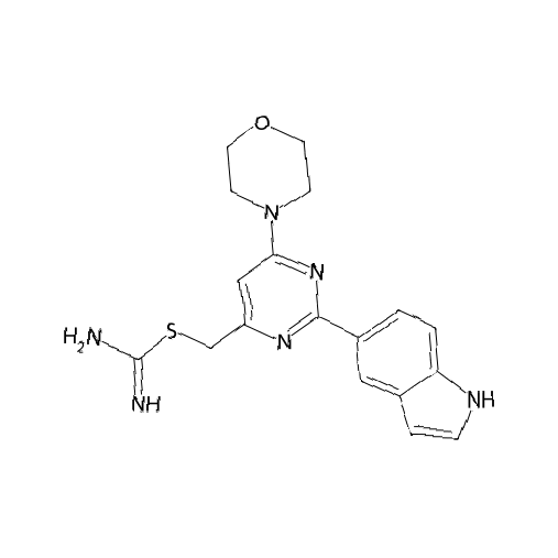 N=C(N)SCc1cc(N2CCOCC2)nc(-c2ccc3[nH]ccc3c2)n1